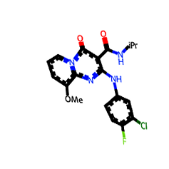 COc1cccn2c(=O)c(C(=O)NC(C)C)c(Nc3ccc(F)c(Cl)c3)nc12